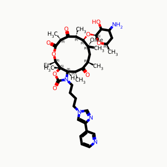 CC[C@H]1OC(=O)[C@H](C)C(=O)[C@H](C)[C@@H](O[C@@H]2O[C@H](C)CC(N)C2O)[C@](C)(OC)C[C@@H](C)C(=O)[C@H](C)[C@H]2N(CCCCn3cnc(-c4cccnc4)c3)C(=O)O[C@]12C